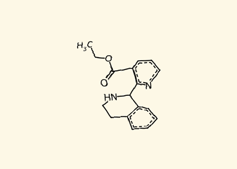 CCOC(=O)c1cccnc1C1NCCc2ccccc21